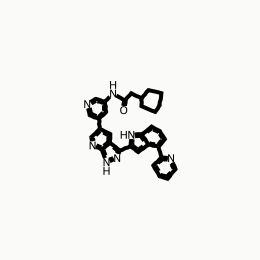 O=C(CC1CCCCC1)Nc1cncc(-c2cnc3[nH]nc(-c4cc5c(-c6ccccn6)cccc5[nH]4)c3c2)c1